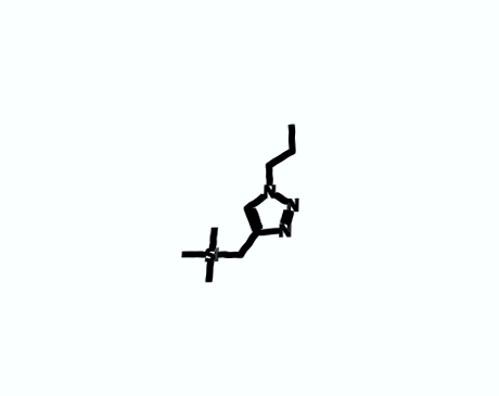 CCCn1cc(C[Si](C)(C)C)nn1